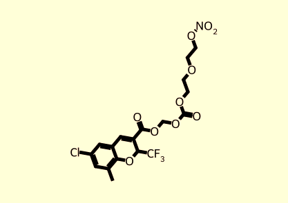 Cc1cc(Cl)cc2c1OC(C(F)(F)F)C(C(=O)OCOC(=O)OCCOCCO[N+](=O)[O-])=C2